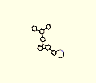 C1=CCC(c2cc(-c3ccccc3)cc(-c3ccc(-n4c5ccccc5c5cc(-c6ccc7c(c6)C/C=C\CCCS7)ccc54)cc3)c2)C=C1